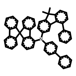 CC1(C)c2ccc(N(c3ccc(-c4ccccc4)cc3)c3cccc4c3-c3ccccc3C43c4ccccc4-c4ccccc43)cc2-c2c(-c3ccccc3)cccc21